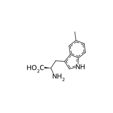 Cc1ccc2[nH]cc(C[C@@H](N)C(=O)O)c2c1